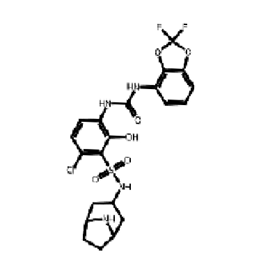 O=C(Nc1ccc(Cl)c(S(=O)(=O)NC2CC3CCC(C2)N3)c1O)Nc1cccc2c1OC(F)(F)O2